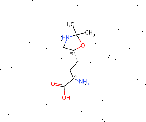 CC1(C)NC[C@@H](CC[C@H](N)C(=O)O)O1